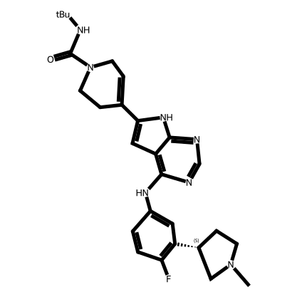 CN1CC[C@@H](c2cc(Nc3ncnc4[nH]c(C5=CCN(C(=O)NC(C)(C)C)CC5)cc34)ccc2F)C1